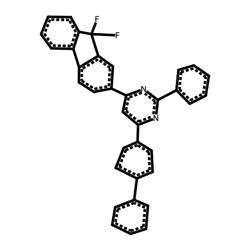 FC1(F)c2ccccc2-c2ccc(-c3cc(-c4ccc(-c5ccccc5)cc4)nc(-c4ccccc4)n3)cc21